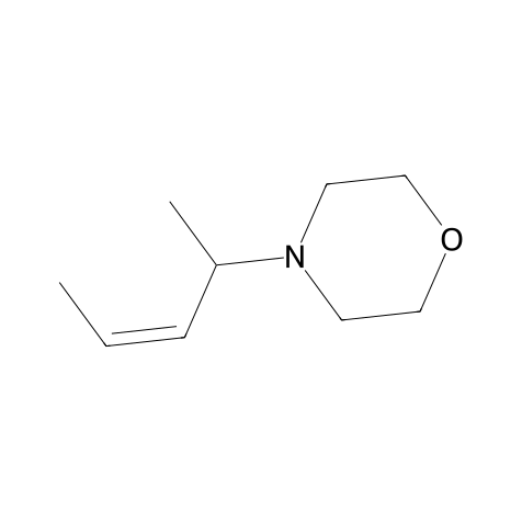 C/C=C\C(C)N1CCOCC1